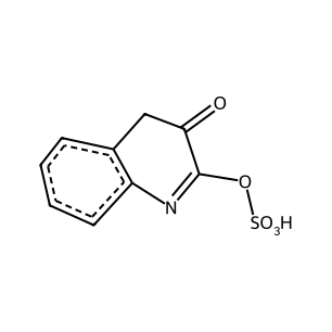 O=C1Cc2ccccc2N=C1OS(=O)(=O)O